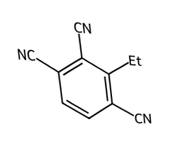 [CH2]Cc1c(C#N)ccc(C#N)c1C#N